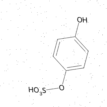 O=S(=O)(O)Oc1ccc(O)cc1